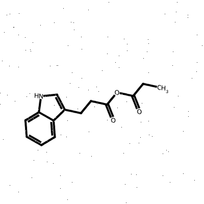 CCC(=O)OC(=O)CCc1c[nH]c2ccccc12